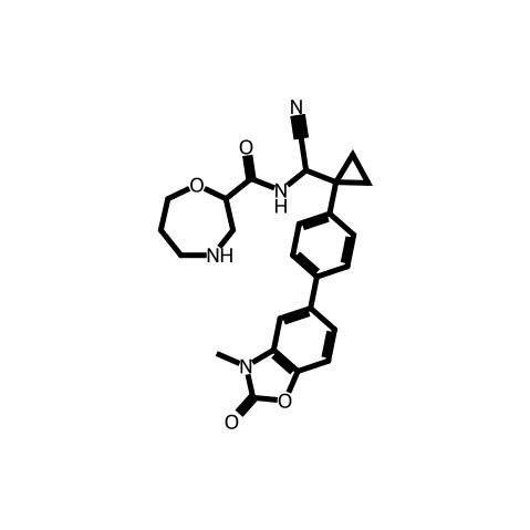 Cn1c(=O)oc2ccc(-c3ccc(C4(C(C#N)NC(=O)C5CNCCCO5)CC4)cc3)cc21